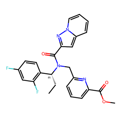 CC[C@H](c1ccc(F)cc1F)N(Cc1cccc(C(=O)OC)n1)C(=O)c1cc2ccccn2n1